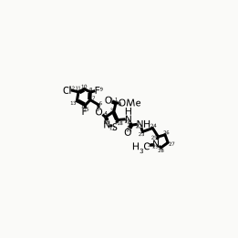 COC(=O)c1c(OCc2c(F)cc(Cl)cc2F)nsc1NC(=O)NCCC1CCCN1C